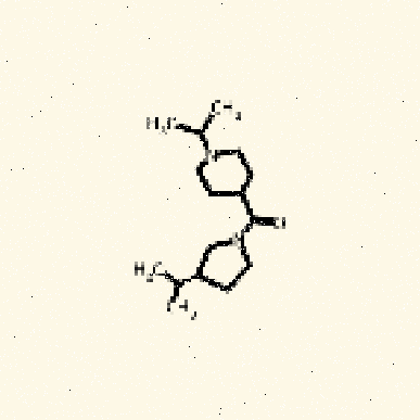 CC(C)[C@@H]1CCN(C(=O)C2CCN(C(C)C)CC2)C1